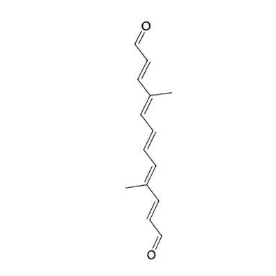 CC(/C=C/C=O)=C\C=C\C=C(C)\C=C\C=O